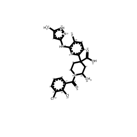 Cc1cc(Nc2nc(C3(C(=O)O)CCN(C(=O)c4cccc(Cl)c4Cl)C(C)C3)ccc2F)n[nH]1